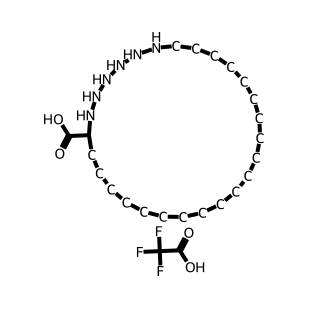 O=C(O)C(F)(F)F.O=C(O)C1CCCCCCCCCCCCCCCCCCCCNNNNNN1